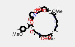 COC1C(=O)C(C)C[C@H](C)/C=C/C=C/C=C(\C)[C@@H](OC)C[C@@H]2CC[C@@H](C)C(O)(O2)C(=O)C(=O)N2CCCC[C@H]2C(=O)O[C@H]([C@H](C)C[C@@H]2CC[C@@H](C)[C@H](OC)C2)CC(=O)[C@H](C)/C=C(\C)[C@H]1O